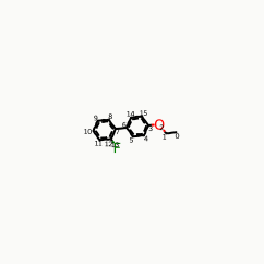 CCOc1ccc(-c2ccccc2F)cc1